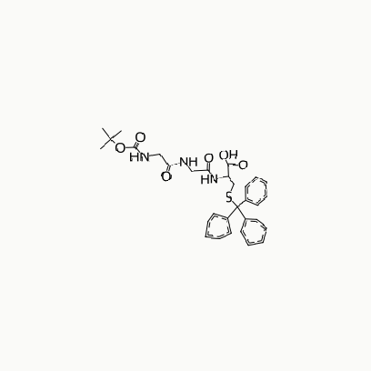 CC(C)(C)OC(=O)NCC(=O)NCC(=O)NC(CSC(c1ccccc1)(c1ccccc1)c1ccccc1)C(=O)O